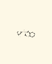 C=[N+](c1ccco1)n1c(C)nc2ccccc2c1=O